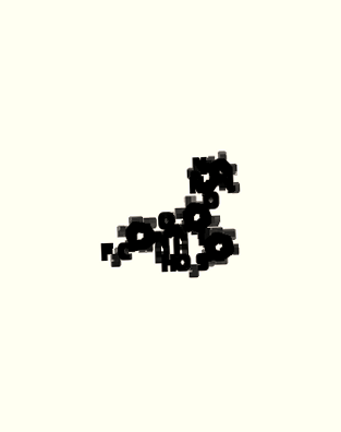 Cn1ccc2ncnc(Oc3ccc(NC(=O)Nc4cccc(C(F)(F)F)c4)c(F)c3)c21.O=S(=O)(O)c1ccccc1